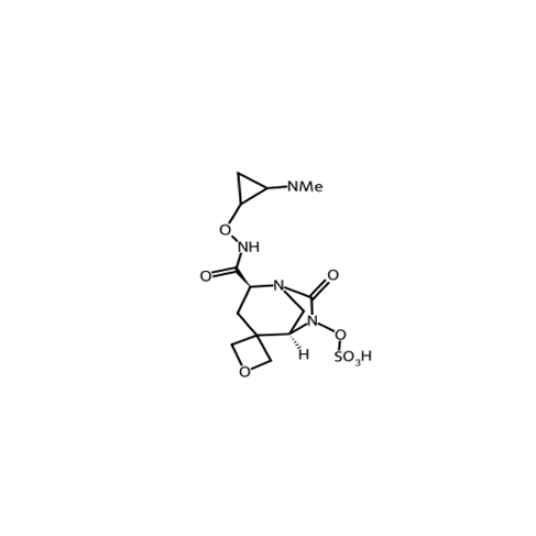 CNC1CC1ONC(=O)[C@@H]1CC2(COC2)[C@H]2CN1C(=O)N2OS(=O)(=O)O